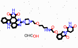 O=C(COc1cccc2c1CN(C1CCC(=O)NC1=O)C2=O)NCCCCOCCN1CCN(c2nc(C3=C(c4c[nH]c5ccccc45)C(=O)NC3=O)c3ccccc3n2)CC1.O=CO